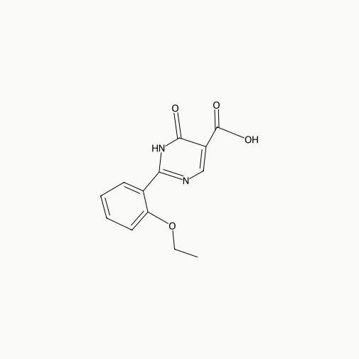 CCOc1ccccc1-c1ncc(C(=O)O)c(=O)[nH]1